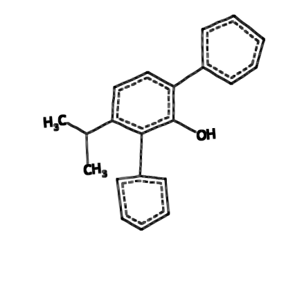 CC(C)c1ccc(-c2ccccc2)c(O)c1-c1ccccc1